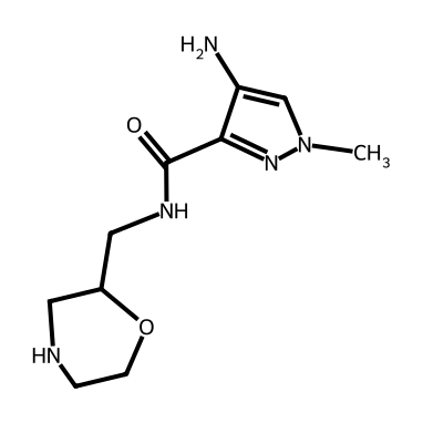 Cn1cc(N)c(C(=O)NCC2CNCCO2)n1